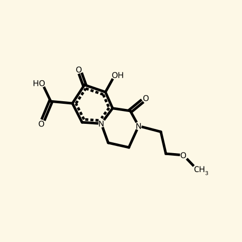 COCCN1CCn2cc(C(=O)O)c(=O)c(O)c2C1=O